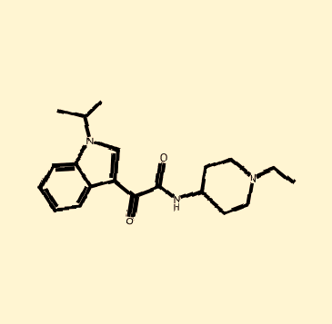 CCN1CCC(NC(=O)C(=O)c2cn(C(C)C)c3ccccc23)CC1